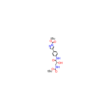 CC(C)(C)OC(=O)NCC(O)C(=O)Nc1ccc(-c2cnn(C(=O)OC(C)(C)C)c2)cc1